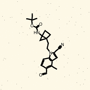 Cc1c(C=O)ccc2c1cc(C#N)n2CCC12CCC1(NC(=O)OC(C)(C)C)C2